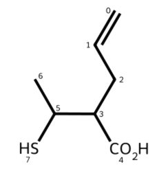 C=CCC(C(=O)O)C(C)S